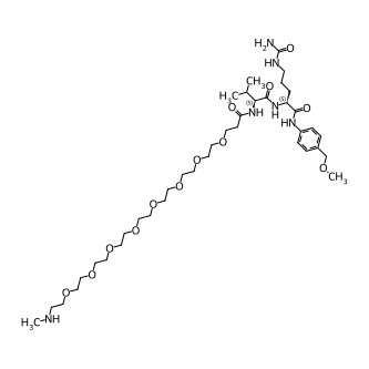 CNCCOCCOCCOCCOCCOCCOCCOCCOCCC(=O)N[C@H](C(=O)N[C@@H](CCCNC(N)=O)C(=O)Nc1ccc(COC)cc1)C(C)C